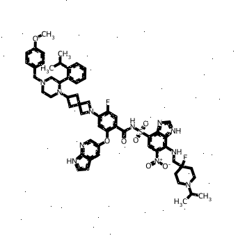 COc1ccc(CN2CCN(C3CC4(C3)CN(c3cc(Oc5cnc6[nH]ccc6c5)c(C(=O)NS(=O)(=O)c5cc([N+](=O)[O-])c(NCC6(F)CCN(C(C)C)CC6)c6[nH]cnc56)cc3F)C4)C(c3ccccc3C(C)C)C2)cc1